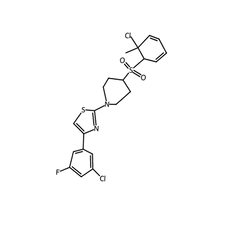 CC1(Cl)C=CC=CC1S(=O)(=O)C1CCN(c2nc(-c3cc(F)cc(Cl)c3)cs2)CC1